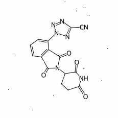 N#Cc1nnn(-c2cccc3c2C(=O)N(C2CCC(=O)NC2=O)C3=O)n1